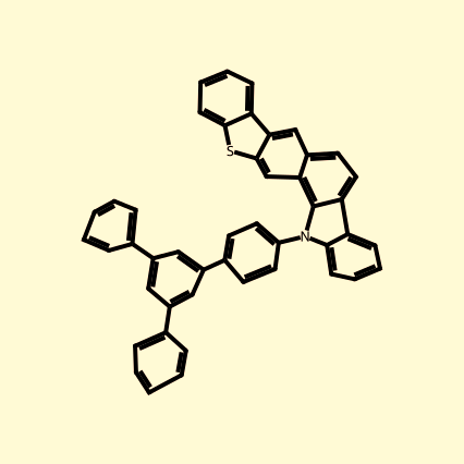 c1ccc(-c2cc(-c3ccccc3)cc(-c3ccc(-n4c5ccccc5c5ccc6cc7c(cc6c54)sc4ccccc47)cc3)c2)cc1